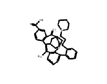 C=C1CCOc2c(cccc2-c2ccccc2CCCN2CCCCC2)/C(C)=C(\C2CCCCC2)c2ccc(C(=O)O)cc21